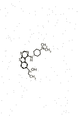 CC[C@@H](O)c1ccc2sc3ncnc(N[C@H]4CC[C@H](N(C)C)CC4)c3c2c1